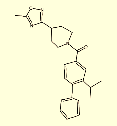 Cc1nc(C2CCN(C(=O)c3ccc(-c4ccccc4)c(C(C)C)c3)CC2)no1